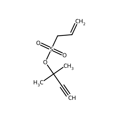 C#CC(C)(C)OS(=O)(=O)CC=C